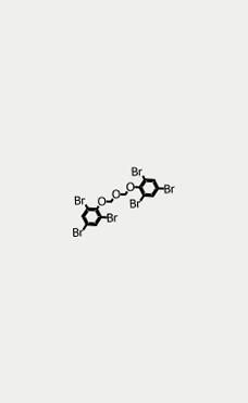 Brc1cc(Br)c(OCOCOc2c(Br)cc(Br)cc2Br)c(Br)c1